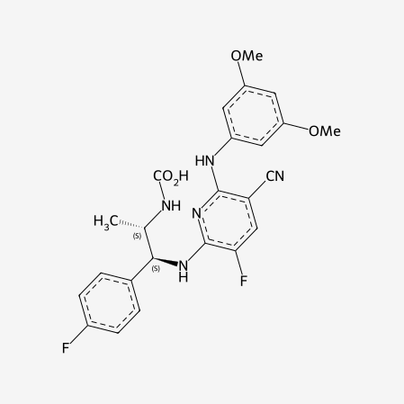 COc1cc(Nc2nc(N[C@@H](c3ccc(F)cc3)[C@H](C)NC(=O)O)c(F)cc2C#N)cc(OC)c1